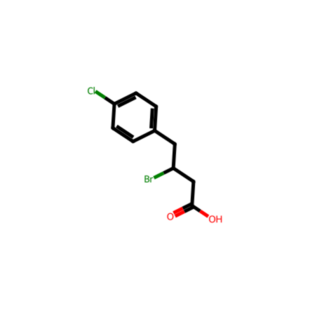 O=C(O)CC(Br)Cc1ccc(Cl)cc1